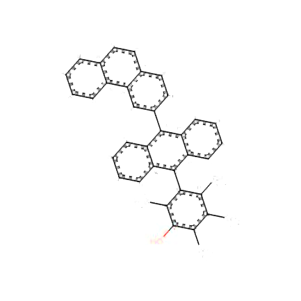 Bc1c(B)c(O)c(B)c(-c2c3ccccc3c(-c3ccc4ccc5ccccc5c4c3)c3ccccc23)c1B